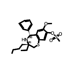 CCCC[C@]1(CC)CSc2cc(OS(C)(=O)=O)c(OC)cc2[C@@H](c2ccccc2)N1